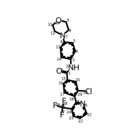 O=C(Nc1ccc(N2CCOCC2)cc1)c1ccc(-c2ncccc2C(F)(F)F)c(Cl)c1